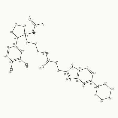 CC(=O)N[N+]1(CCCNC(=O)CCc2nc3nc(N4CCCCC4)ccc3s2)CCCC1c1ccc(Cl)c(Cl)c1